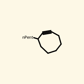 CCCCCC1C#CCCCCC1